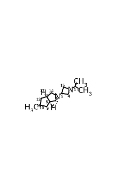 CC(C)N1CC(N2C[C@H]3C[C@H](C)C[C@H]3C2)C1